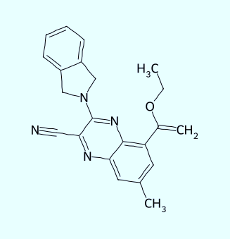 C=C(OCC)c1cc(C)cc2nc(C#N)c(N3Cc4ccccc4C3)nc12